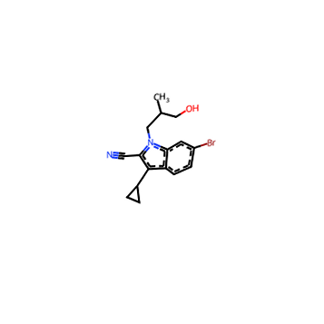 CC(CO)Cn1c(C#N)c(C2CC2)c2ccc(Br)cc21